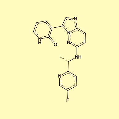 C[C@H](Nc1ccc2ncc(-c3ccc[nH]c3=O)n2n1)c1ccc(F)cn1